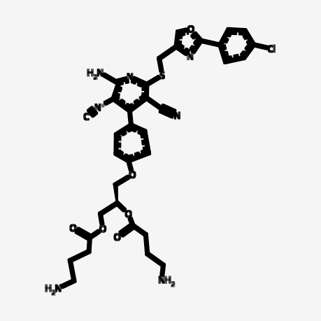 [C-]#[N+]c1c(N)nc(SCc2coc(-c3ccc(Cl)cc3)n2)c(C#N)c1-c1ccc(OC[C@H](COC(=O)CCCN)OC(=O)CCCN)cc1